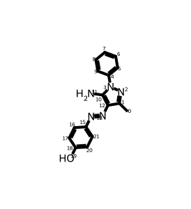 Cc1nn(-c2ccccc2)c(N)c1N=Nc1ccc(O)cc1